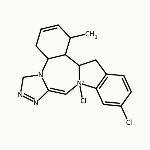 CC1C=CCC2C1C1Cc3ccc(Cl)cc3[N+]1(Cl)C=C1N=NCN12